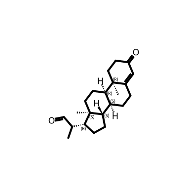 CC(C=O)[C@H]1CC[C@H]2[C@@H]3CCC4=CC(=O)CC[C@]4(C)[C@@H]3CC[C@]12C